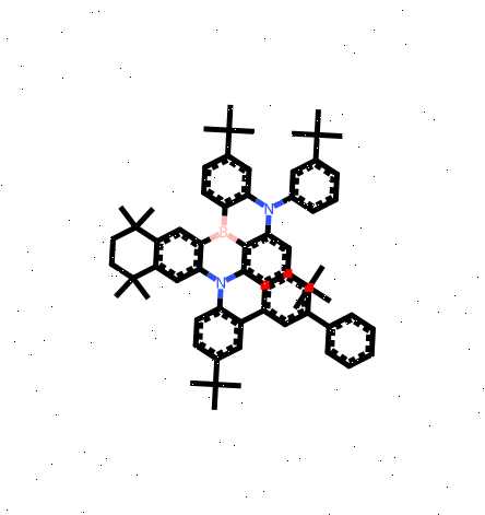 CC(C)(C)c1cccc(N2c3cc(C(C)(C)C)ccc3B3c4cc5c(cc4N(c4ccc(C(C)(C)C)cc4-c4cccc(-c6ccccc6)c4)c4cc(C(C)(C)C)cc2c43)C(C)(C)CCC5(C)C)c1